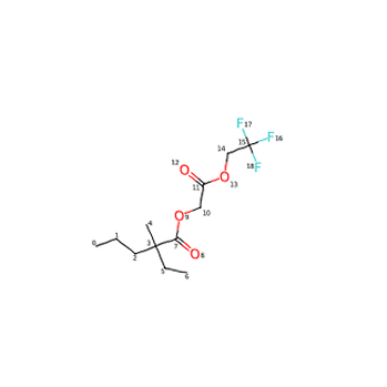 CCCC(C)(CC)C(=O)OCC(=O)OCC(F)(F)F